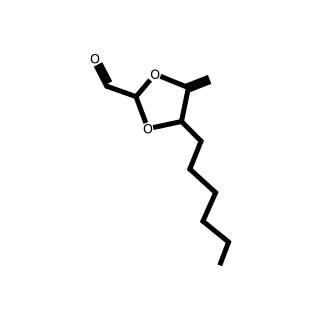 C=C1OC(C=O)OC1CCCCCC